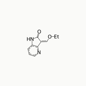 CCOC=C1C(=O)Nc2cccnc21